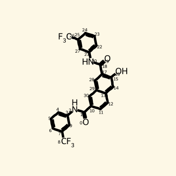 O=C(Nc1cccc(C(F)(F)F)c1)c1ccc2cc(O)c(C(=O)Nc3cccc(C(F)(F)F)c3)cc2c1